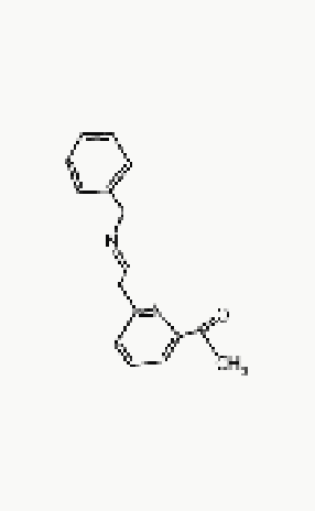 CC(=O)c1cccc(CC=NCc2ccccc2)n1